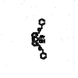 CC(C)C(O)(c1nccn1COCc1ccccc1)c1nccn1COCc1ccccc1